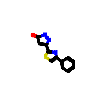 O=C1C=C(c2nc(-c3ccccc3)cs2)N=N1